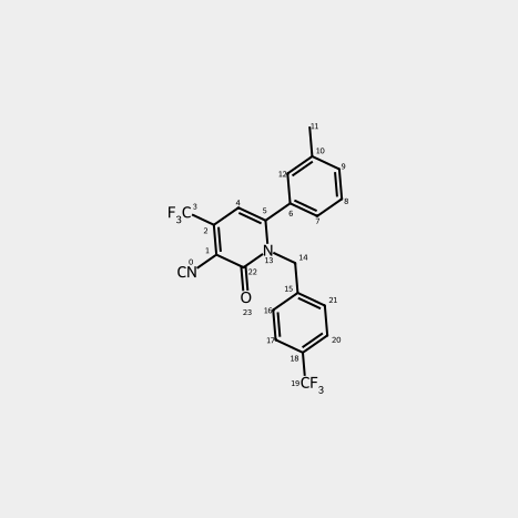 [C-]#[N+]c1c(C(F)(F)F)cc(-c2cccc(C)c2)n(Cc2ccc(C(F)(F)F)cc2)c1=O